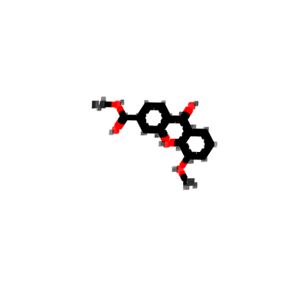 COC(=O)c1ccc2c(=O)c3cccc(OC)c3oc2c1